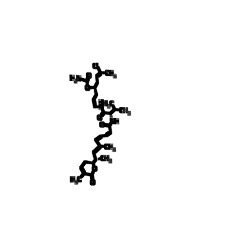 CC1=CC[C@@H]([C@@H](C)/C=C(C)/C=C\C=C/C(=O)N[C@H](C(=O)N/C=C\C[C@H](C/C=C(\C)Cl)OC(N)=O)C(C)C)OC1=O